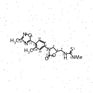 CNC(=S)NCC1CN(c2ccc(-c3nc(C)no3)c(C)c2)C(=O)O1